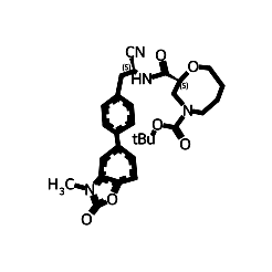 Cn1c(=O)oc2ccc(-c3ccc(C[C@@H](C#N)NC(=O)[C@@H]4CN(C(=O)OC(C)(C)C)CCCCO4)cc3)cc21